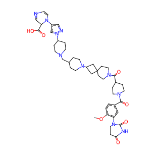 COc1ccc(C(=O)N2CCC(C(=O)N3CCC4(CC3)CC(N3CCC(CN5CCC(n6cc(N7C=CN=CC7C(=O)O)cn6)CC5)CC3)C4)CC2)cc1N1CCC(=O)NC1=O